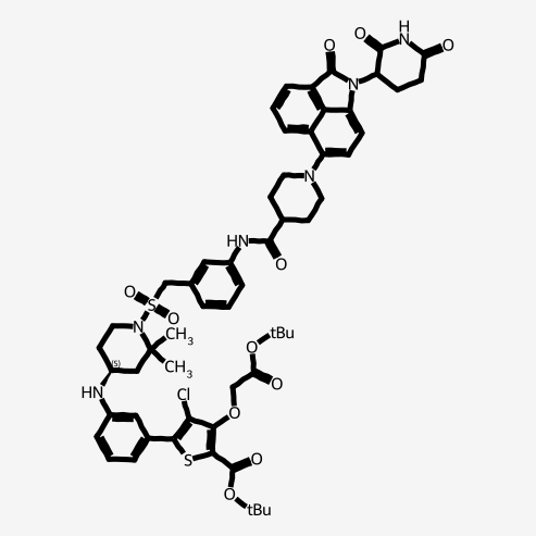 CC(C)(C)OC(=O)COc1c(C(=O)OC(C)(C)C)sc(-c2cccc(N[C@H]3CCN(S(=O)(=O)Cc4cccc(NC(=O)C5CCN(c6ccc7c8c(cccc68)C(=O)N7C6CCC(=O)NC6=O)CC5)c4)C(C)(C)C3)c2)c1Cl